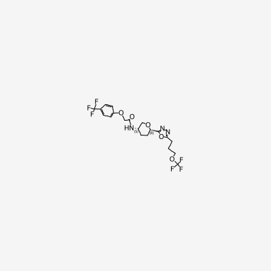 O=C(COc1ccc(C(F)(F)F)cc1)N[C@H]1CC[C@H](c2nnc(CCCOC(F)(F)F)o2)OC1